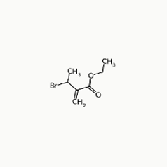 C=C(C(=O)OCC)C(C)Br